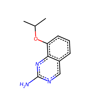 CC(C)Oc1cccc2cnc(N)nc12